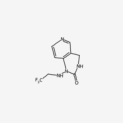 O=C1NCc2cnccc2N1NCC(F)(F)F